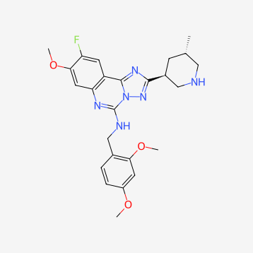 COc1ccc(CNc2nc3cc(OC)c(F)cc3c3nc([C@@H]4CNC[C@@H](C)C4)nn23)c(OC)c1